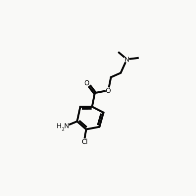 CN(C)CCOC(=O)c1ccc(Cl)c(N)c1